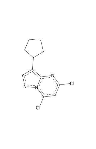 Clc1cc(Cl)n2ncc(C3CCCC3)c2n1